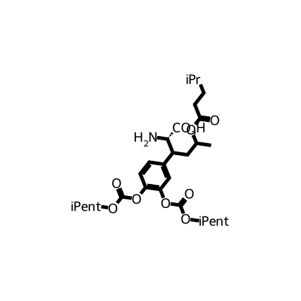 CCCC(C)OC(=O)Oc1ccc(C(CC(C)OC(=O)CCC(C)C)[C@H](N)C(=O)O)cc1OC(=O)OC(C)CCC